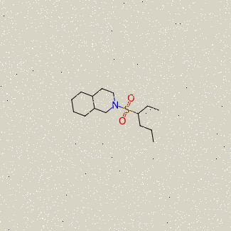 CCCC(CC)S(=O)(=O)N1CCC2CCCCC2C1